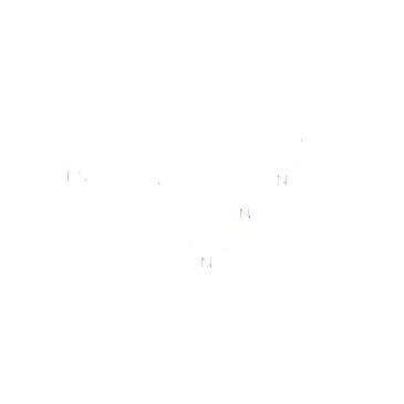 C=CC(=O)N1CCN(c2snc3c(F)c(-c4cc(N)ccc4F)c(Cl)cc23)CC1